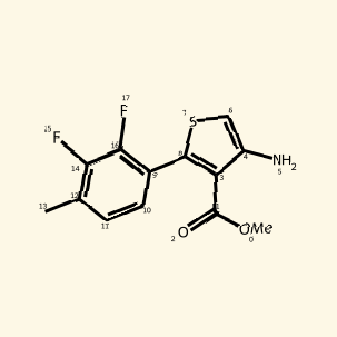 COC(=O)c1c(N)csc1-c1ccc(C)c(F)c1F